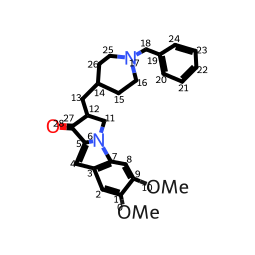 COc1cc2cc3n(c2cc1OC)CC(CC1CCN(Cc2ccccc2)CC1)C3=O